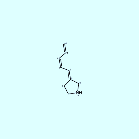 C=C/C=C\C=C1/CCNC1